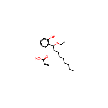 C=CC(=O)O.CCCCCCCCC(OCC)c1ccccc1O